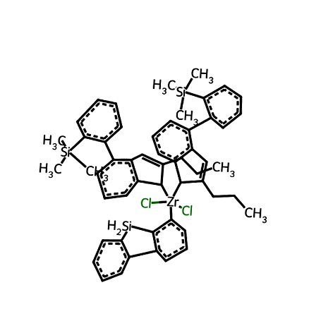 CCCC1=Cc2c(-c3ccccc3[Si](C)(C)C)cccc2[CH]1[Zr]([Cl])([Cl])([c]1cccc2c1[SiH2]c1ccccc1-2)[CH]1C(CCC)=Cc2c(-c3ccccc3[Si](C)(C)C)cccc21